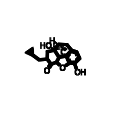 O=C1C(CC2CC2)C[C@@]2(O)[C@H]3Cc4ccc(O)c5c4[C@@]2(CCN3)C1O5